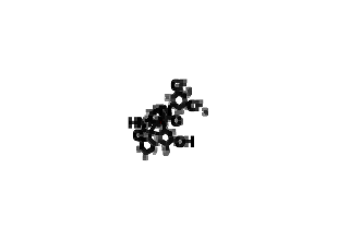 Cc1cc(C2(c3ccccc3)C(=O)Nc3ccccc32)c(NC(=O)Nc2cc(C(F)(F)F)cc(C(F)(F)F)c2)cc1O